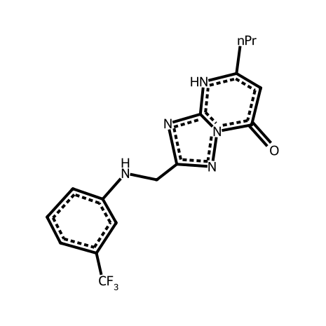 CCCc1cc(=O)n2nc(CNc3cccc(C(F)(F)F)c3)nc2[nH]1